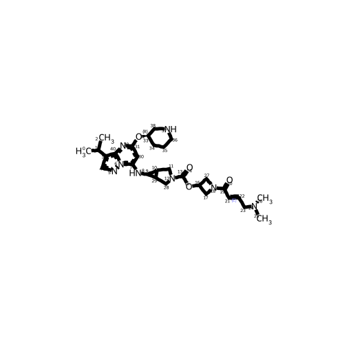 CC(C)c1cnn2c(NC3C4CN(C(=O)OC5CN(C(=O)/C=C/CN(C)C)C5)CC43)cc(O[C@@H]3CCCNC3)nc12